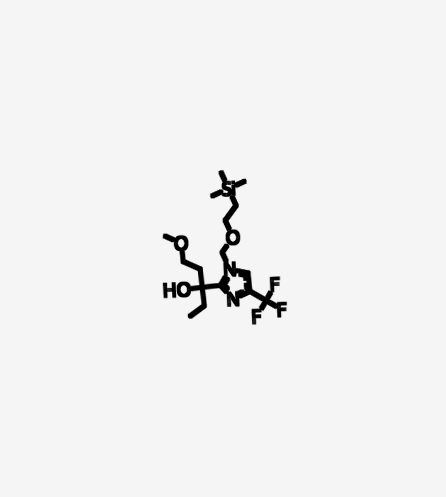 CCC(O)(CCOC)c1nc(C(F)(F)F)cn1COCC[Si](C)(C)C